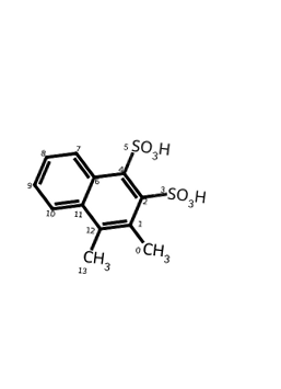 Cc1c(S(=O)(=O)O)c(S(=O)(=O)O)c2ccccc2c1C